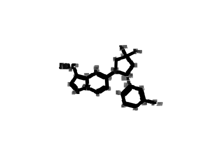 CCOC(=O)c1cnn2ccc(N3CC(F)(F)C[C@@H]3c3cccc(F)c3)nc12